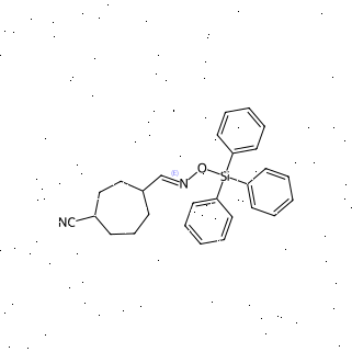 N#CC1CCCC(/C=N/O[Si](c2ccccc2)(c2ccccc2)c2ccccc2)CC1